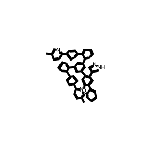 Cc1ccc(-c2ccc(-c3ccccc3-c3cc(-c4ccccc4-c4ccc(-c5ccc(C)cn5)cc4)cc(-c4cc5oc6ccccc6c5cc4-c4cn[nH]c4)c3)cc2)nc1